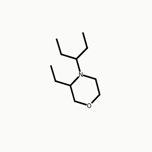 CCC(CC)N1CCOCC1CC